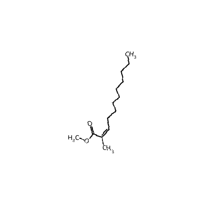 CCCCCCCCCC=C(C)C(=O)OC